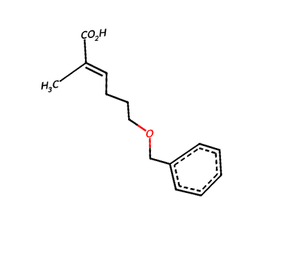 CC(=CCCCOCc1ccccc1)C(=O)O